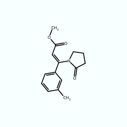 COC(=O)/C=C(/c1cccc(C)c1)N1CCCC1=O